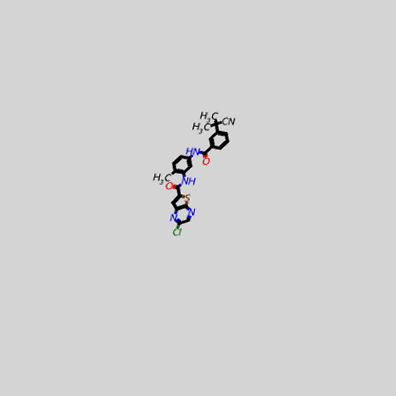 Cc1ccc(NC(=O)c2cccc(C(C)(C)C#N)c2)cc1NC(=O)c1cc2nc(Cl)cnc2s1